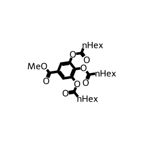 CCCCCCC(=O)Oc1cc(C(=O)OC)cc(OC(=O)CCCCCC)c1OC(=O)CCCCCC